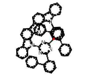 c1ccc(-c2ccc(-n3c4ccccc4c4ccc5c6ccc7c8ccccc8n(-c8nc(-c9ccccc9-c9ccccc9)nc(-c9ccccc9-c9ccccc9)n8)c7c6oc5c43)cc2)cc1